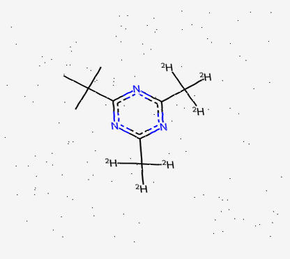 [2H]C([2H])([2H])c1nc(C([2H])([2H])[2H])nc(C(C)(C)C)n1